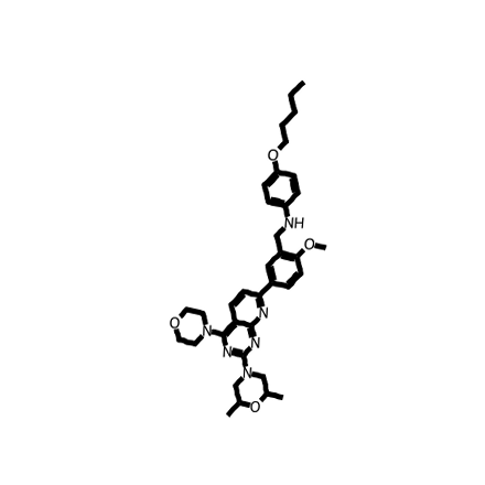 CCCCCOc1ccc(NCc2cc(-c3ccc4c(N5CCOCC5)nc(N5CC(C)OC(C)C5)nc4n3)ccc2OC)cc1